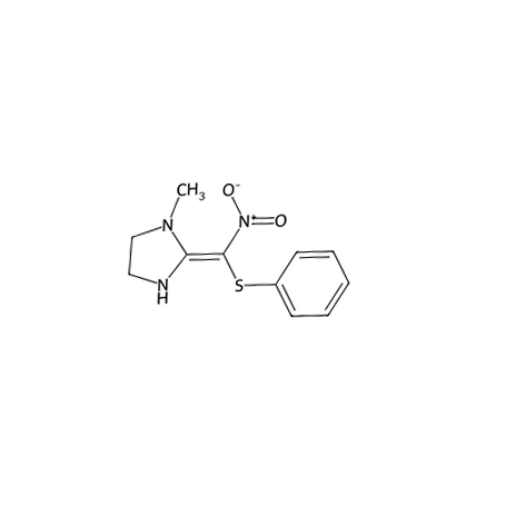 CN1CCNC1=C(Sc1ccccc1)[N+](=O)[O-]